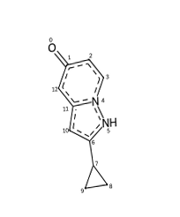 O=c1ccn2[nH]c(C3CC3)cc2c1